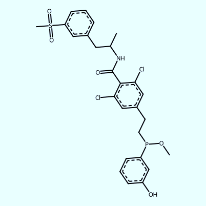 COP(CCc1cc(Cl)c(C(=O)NC(C)Cc2cccc(S(C)(=O)=O)c2)c(Cl)c1)c1cccc(O)c1